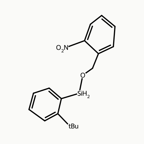 CC(C)(C)c1ccccc1[SiH2]OCc1ccccc1[N+](=O)[O-]